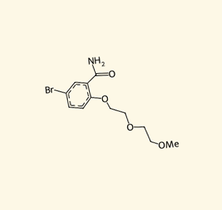 COCCOCCOc1ccc(Br)cc1C(N)=O